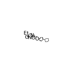 CC[C@H]1CN2C[C@@H](COc3ccc(C4CCCCC4)cc3)OC2=NC1=O